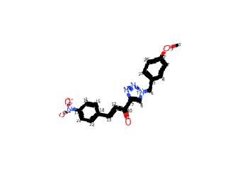 COc1ccc(Cn2cc(C(=O)C=Cc3ccc([N+](=O)[O-])cc3)nn2)cc1